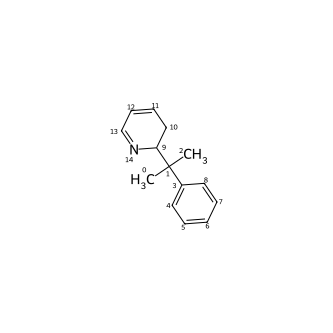 CC(C)(c1ccccc1)C1CC=CC=N1